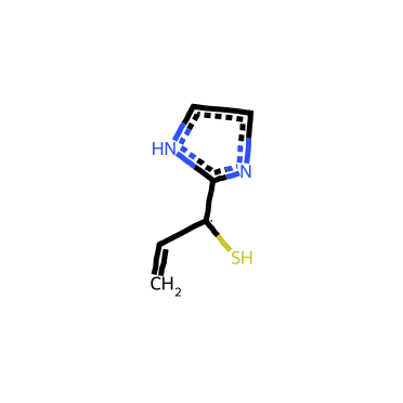 C=C[C](S)c1ncc[nH]1